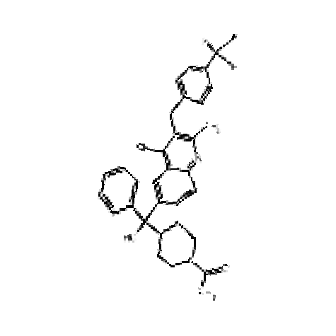 CC(=O)N1CCC(C(O)(c2ccccc2)c2ccc3nc(C)c(Cc4ccc(C(F)(F)F)cc4)c(Cl)c3c2)CC1